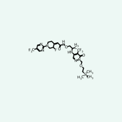 CC(CONC(=O)C=C1CCN(c2ncc(C(F)(F)F)cn2)CC1F)Nc1cnn(COCC[Si](C)(C)C)c(=O)c1C(F)(F)F